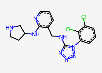 Clc1cccc(-n2nnnc2NCc2cccnc2NC2CCNC2)c1Cl